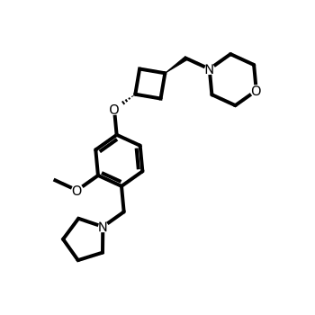 COc1cc(O[C@H]2C[C@H](CN3CCOCC3)C2)ccc1CN1CCCC1